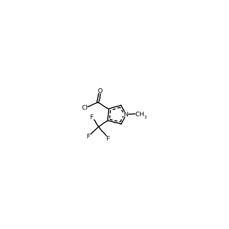 Cn1cc(C(=O)Cl)c(C(F)(F)F)c1